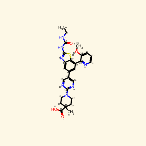 CCNC(=O)Nc1nc2cc(-c3cnc(N4CCC(C)(C(=O)O)CC4)nc3)cc(-c3ncccc3OC)c2s1